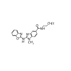 [CH2]COCCNC(=O)c1ccc2c(c1)nc(Nc1nc3ccccc3o1)n2C